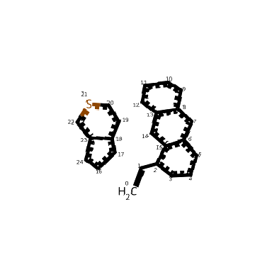 C=Cc1cccc2cc3ccccc3cc12.c1cc2ccscc-2c1